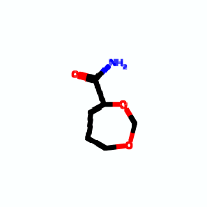 NC(=O)C1CCCOCO1